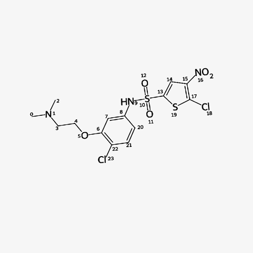 CN(C)CCOc1cc(NS(=O)(=O)c2cc([N+](=O)[O-])c(Cl)s2)ccc1Cl